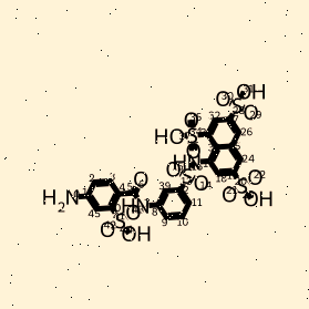 Nc1ccc(C(=O)Nc2cccc(S(=O)(=O)Nc3cc(S(=O)(=O)O)cc4cc(S(=O)(=O)O)cc(S(=O)(=O)O)c34)c2)c(S(=O)(=O)O)c1